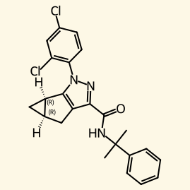 CC(C)(NC(=O)c1nn(-c2ccc(Cl)cc2Cl)c2c1C[C@H]1C[C@@H]21)c1ccccc1